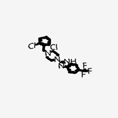 FC(F)(F)c1ccc2nc(N3CCN(Cc4c(Cl)cccc4Cl)CC3)[nH]c2c1